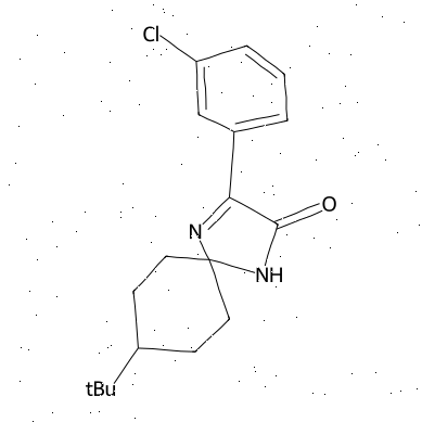 CC(C)(C)C1CCC2(CC1)N=C(c1cccc(Cl)c1)C(=O)N2